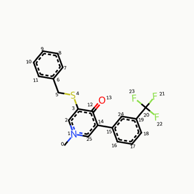 Cn1cc(SCc2ccccc2)c(=O)c(-c2cccc(C(F)(F)F)c2)c1